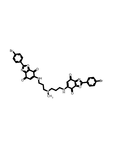 CN(CCCNC1=CC(=O)c2nc(-c3ccc(Br)cc3)oc2C1=O)CCCNC1=CC(=O)c2nc(-c3ccc(Br)cc3)oc2C1=O